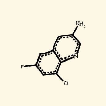 Nc1cnc2c(Cl)cc(F)cc2c1